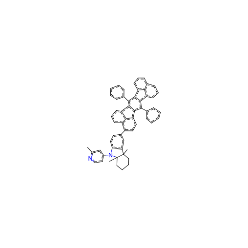 Cc1cc(N2c3ccc(-c4ccc5c6c(-c7ccccc7)c7c8cccc9cccc(c7c(-c7ccccc7)c6c6cccc4c65)c98)cc3C3(C)CCCCC23C)ccn1